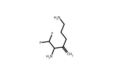 C=C(CCCN)C(N)C(F)F